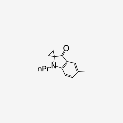 CCCN1c2ccc(C)cc2C(=O)C12CC2